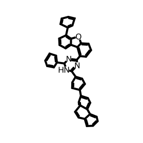 c1ccc(-c2cccc3c2oc2cccc(C4=NC(c5ccccc5)NC(c5ccc(-c6ccc7c(ccc8ccccc87)c6)cc5)=N4)c23)cc1